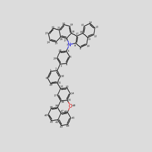 c1cc(-c2ccc(-n3c4ccc5ccccc5c4c4ccc5ccccc5c43)cc2)cc(-c2ccc3c(c2)-c2cccc4cccc(c24)O3)c1